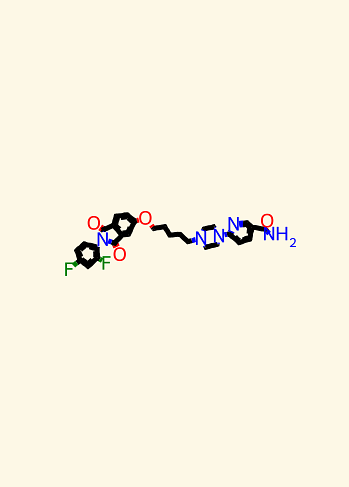 NC(=O)c1ccc(N2CCN(CCCCCOc3ccc4c(c3)C(=O)N(c3ccc(F)cc3F)C4=O)CC2)nc1